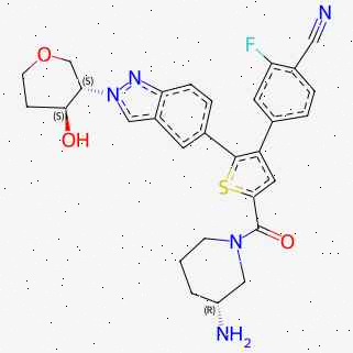 N#Cc1ccc(-c2cc(C(=O)N3CCC[C@@H](N)C3)sc2-c2ccc3nn([C@H]4COCC[C@@H]4O)cc3c2)cc1F